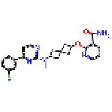 NC(=O)c1cccnc1OC1CC2(CC(Nc3nccc(-c4cccc(F)c4)n3)C2)C1